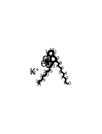 CCCCCCCCCc1cc2ccccc2c(S(=O)(=O)[O-])c1CCCCCCCCC.[K+]